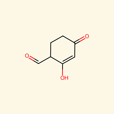 O=CC1CCC(=O)C=C1O